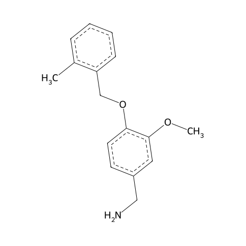 COc1cc(CN)ccc1OCc1ccccc1C